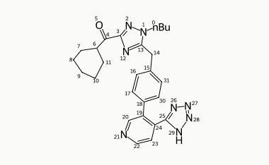 CCCCn1nc(C(=O)C2CCCCC2)nc1Cc1ccc(-c2cnccc2-c2nnn[nH]2)cc1